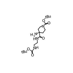 CC(C)(C)OC(=O)NCCNC(=O)C1(N)CCN(C(=O)OC(C)(C)C)CC1